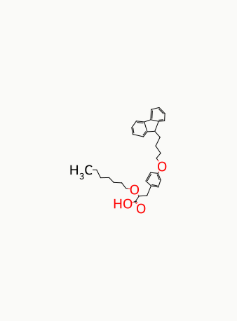 CCCCCCCOC(Cc1ccc(OCCCCC2c3ccccc3-c3ccccc32)cc1)C(=O)O